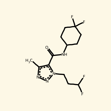 Cc1nnn(CCC(F)F)c1C(=O)NC1CCC(F)(F)CC1